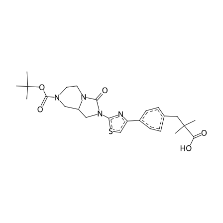 CC(C)(C)OC(=O)N1CCN2C(=O)N(c3nc(-c4ccc(CC(C)(C)C(=O)O)cc4)cs3)CC2C1